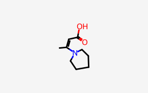 C/C(=C/C(=O)O)N1CCCCC1